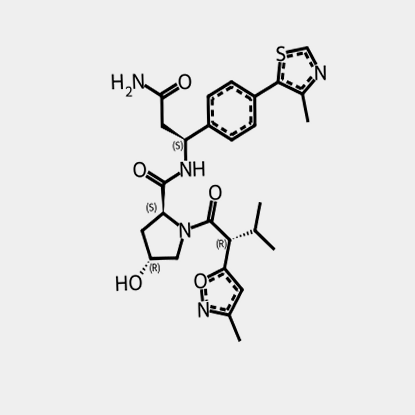 Cc1cc([C@H](C(=O)N2C[C@H](O)C[C@H]2C(=O)N[C@@H](CC(N)=O)c2ccc(-c3scnc3C)cc2)C(C)C)on1